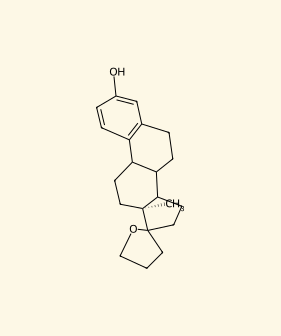 C[C@]12CCC3c4ccc(O)cc4CCC3C1CCC21CCCO1